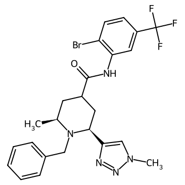 C[C@H]1CC(C(=O)Nc2cc(C(F)(F)F)ccc2Br)C[C@@H](c2cn(C)nn2)N1Cc1ccccc1